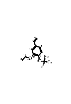 C=Cc1ccc(OC(F)(F)F)c(OCC)c1